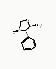 O=C(O)[C@@H]1OC[N+](=O)[C@H]1c1ccccc1